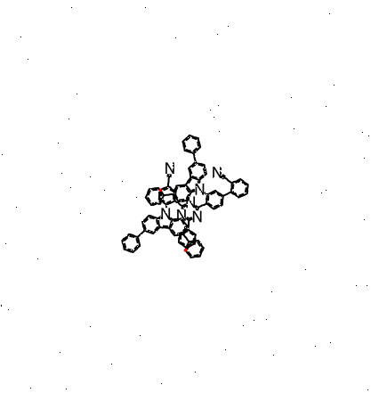 N#Cc1ccc(-n2c3ccc(-c4ccccc4)cc3c3cc(-c4ccccc4)ccc32)c(-c2nc(-c3ccccc3)nc(-c3ccc(-c4ccccc4C#N)cc3-n3c4ccc(-c5ccccc5)cc4c4cc(-c5ccccc5)ccc43)n2)c1